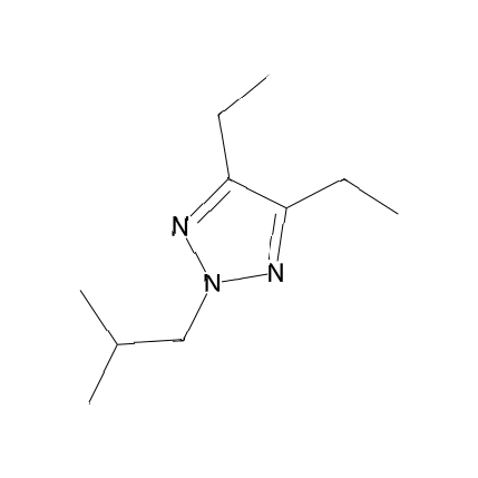 CCc1nn(CC(C)C)nc1CC